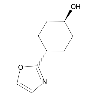 O[C@H]1CC[C@H](c2ncco2)CC1